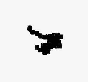 CC(=O)CCOCCOCCOCCOCc1cn(CC2O[C@H](OP(=O)(O)OP(=O)(O)OC[C@H]3O[C@@H](n4cnc5c(=O)[nH]c(N)nc54)C(O)[C@H]3O)C(O)[C@@H](O)[C@@H]2O)nn1